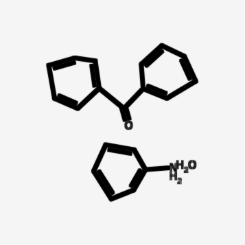 Nc1ccccc1.O.O=C(c1ccccc1)c1ccccc1